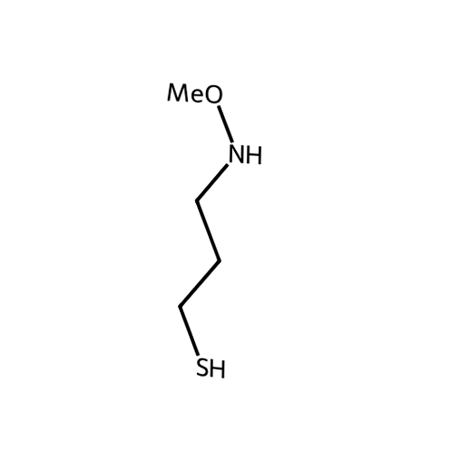 CONCCCS